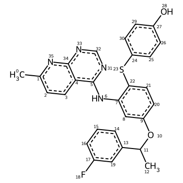 Cc1ccc2c(Nc3cc(OC(C)c4cccc(F)c4)ccc3Sc3ccc(O)cc3)ncnc2n1